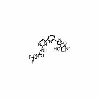 CN1CCC(O)(c2cc(-c3cccc(-c4ccnc(NCC(=O)N5CC(F)(F)C5)n4)n3)no2)C1=O